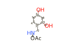 CC(=O)ONCc1ccc(O)cc1O